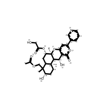 CC(=O)OCC1(C)C2C[C@H](OC(=O)CO)[C@@]3(C)Oc4cc(-c5cccnc5)oc(=O)c4[C@H](O)C3[C@@]2(C)CC[C@@H]1O